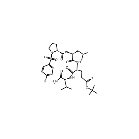 CC(C)C[C@H](NC(=O)[C@@H]1CCCN1S(=O)(=O)c1ccc(F)cc1)C(=O)N[C@@H](CCC(=O)OC(C)(C)C)C(=O)N[C@H](C(N)=O)C(C)C